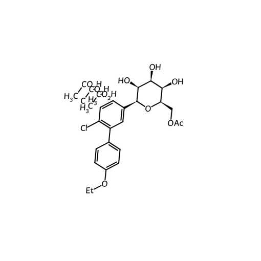 CC(=O)O.CC(=O)O.CC(=O)O.CCOc1ccc(-c2cc([C@@H]3O[C@H](COC(C)=O)[C@H](O)[C@H](O)[C@@H]3O)ccc2Cl)cc1